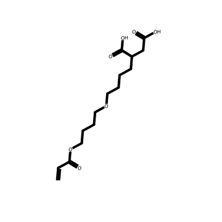 C=CC(=O)OCCCCOCCCCC(CC(=O)O)C(=O)O